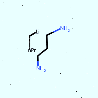 NCCCN.[Li][CH2]CCC